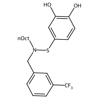 CCCCCCCCN(Cc1cccc(C(F)(F)F)c1)Sc1ccc(O)c(O)c1